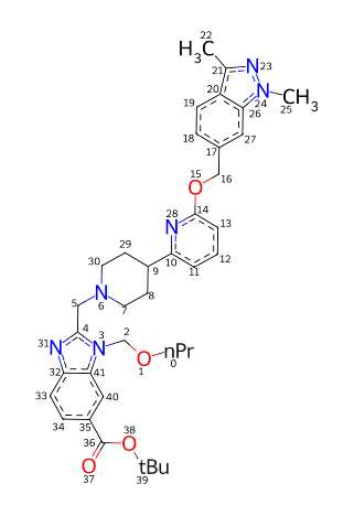 CCCOCn1c(CN2CCC(c3cccc(OCc4ccc5c(C)nn(C)c5c4)n3)CC2)nc2ccc(C(=O)OC(C)(C)C)cc21